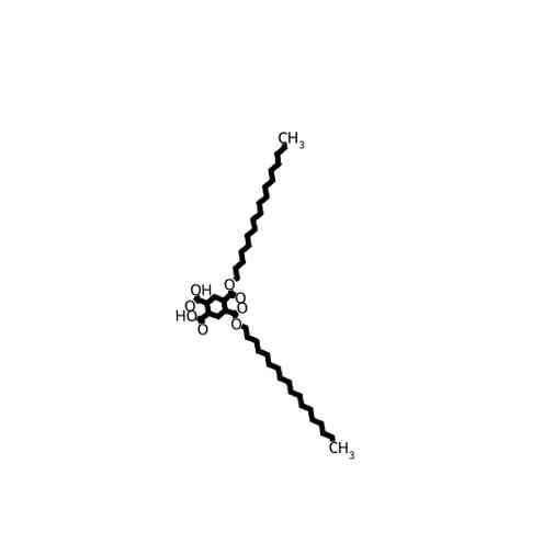 CCCCCCCCCCCCCCCCCCOC(=O)C1CC(C(=O)O)C(C(=O)O)CC1C(=O)OCCCCCCCCCCCCCCCCCC